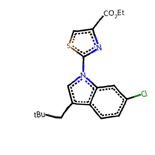 CCOC(=O)c1csc(-n2cc(CC(C)(C)C)c3ccc(Cl)cc32)n1